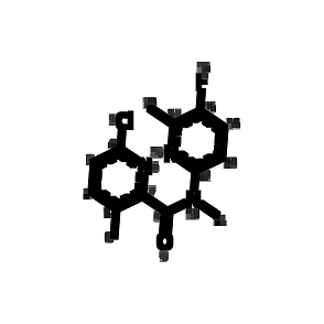 Cc1ccc(Cl)nc1C(=O)N(C)c1ccc(F)c(C)n1